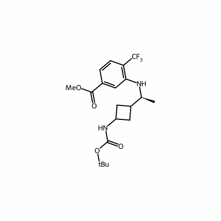 COC(=O)c1ccc(C(F)(F)F)c(N[C@@H](C)C2CC(NC(=O)OC(C)(C)C)C2)c1